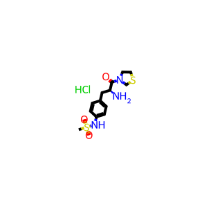 CS(=O)(=O)Nc1ccc(C[C@H](N)C(=O)N2CCSC2)cc1.Cl